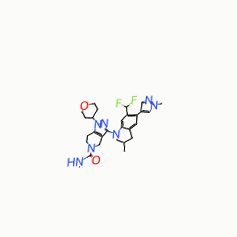 CNC(=O)N1CCc2c(c(N3CC(C)Cc4cc(-c5cnn(C)c5)c(C(F)F)cc43)nn2C2CCOCC2)C1